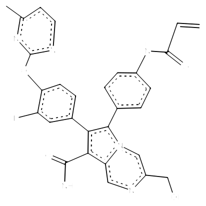 C=CC(=O)Nc1ccc(-c2c(-c3ccc(Oc4nccc(C)n4)c(F)c3)c(C(N)=O)c3cnc(CO)cn23)cc1